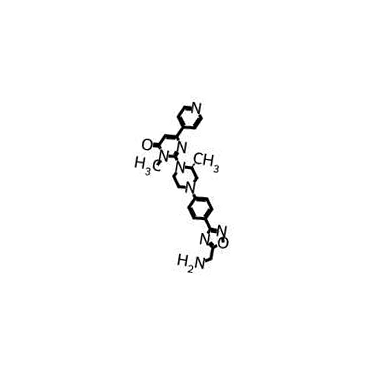 C[C@@H]1CN(c2ccc(-c3noc(CN)n3)cc2)CCN1c1nc(-c2ccncc2)cc(=O)n1C